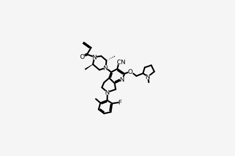 C=CC(=O)N1C[C@H](C)N(c2c(C#N)c(OCC3CCCN3C)nc3c2CCN(c2c(C)cccc2F)C3)C[C@H]1C